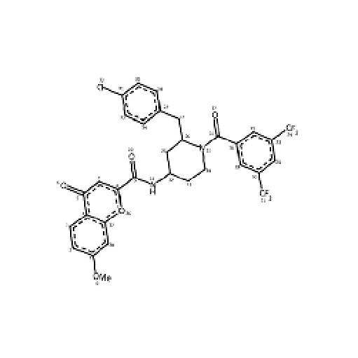 COc1ccc2c(=O)cc(C(=O)NC3CCN(C(=O)c4cc(C(F)(F)F)cc(C(F)(F)F)c4)C(Cc4ccc(Cl)cc4)C3)oc2c1